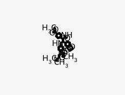 COC(=O)c1ccc2c(c1)NC(=O)C2=C(Nc1ccc(N(CCN(C)C)S(C)(=O)=O)c(F)c1)c1ccc2c(c1)OCCO2